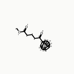 COC(=O)CCCC(=O)[C]12[CH]3[CH]4[CH]5[CH]1[Fe]45321678[CH]2[CH]1[CH]6[CH]7[CH]28